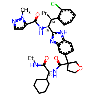 CCNC(=O)[C@H](NC(=O)C1(c2ccc3[nH]c([C@@H](NC(=O)c4ccnn4C)[C@H](c4ccccc4Cl)C(C)C)nc3c2)CCOC1)C1CCCCC1